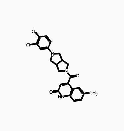 Cc1ccc2[nH]c(=O)cc(C(=O)N3CC4CN(c5ccc(Cl)c(Cl)c5)CC4C3)c2c1